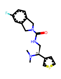 CN(C)[C@@H](CNC(=O)N1Cc2ccc(F)cc2C1)c1ccsc1